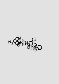 CC(C)(C)OC(=O)N1CCN(c2cc(Cl)cc3c2OCCN3S(=O)(=O)c2ccccc2)CC1